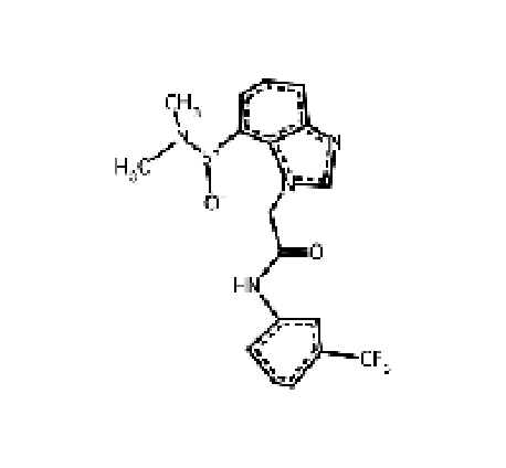 CN(C)[S+]([O-])c1cccc2ncn(CC(=O)Nc3cccc(C(F)(F)F)c3)c12